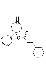 O=C(CCC1CCCCC1)OC1(c2ccccc2)CCNCC1